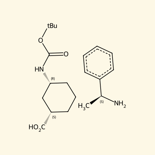 CC(C)(C)OC(=O)N[C@@H]1CCC[C@H](C(=O)O)C1.C[C@H](N)c1ccccc1